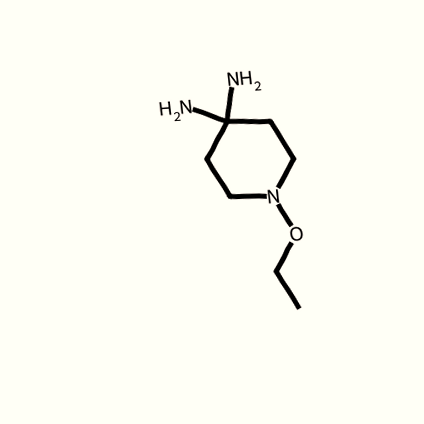 CCON1CCC(N)(N)CC1